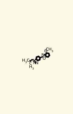 COc1cccc2oc(-c3ccc4c(c3)nnn4CC(C)C)nc12